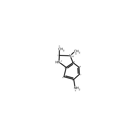 CC1Nc2cc(N)ccc2N1C